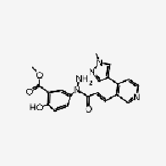 COC(=O)c1cc(N(N)C(=O)/C=C/c2cnccc2-c2cnn(C)c2)ccc1O